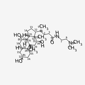 C[C@H](CCC(=O)NCCN(C)C)C1CC[C@H]2[C@@H]3[C@H](O)C[C@@H]4C[C@H](O)CC[C@]4(C)[C@H]3C[C@H](O)[C@]12C